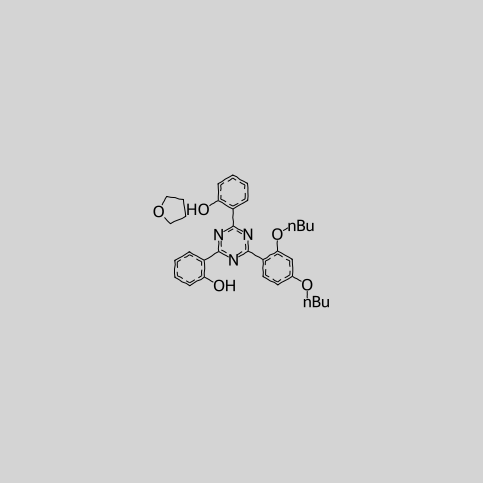 C1CCOC1.CCCCOc1ccc(-c2nc(-c3ccccc3O)nc(-c3ccccc3O)n2)c(OCCCC)c1